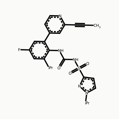 CC#Cc1cc(-c2cc(F)cc(C(C)C)c2NC(=O)NS(=O)(=O)c2ccn(C(C)C)n2)ccn1